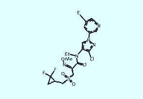 CCN(C(=O)C(CS(=O)(=O)CC1CC1(F)F)=NOC)c1cn(-c2cncc(F)c2)nc1Cl